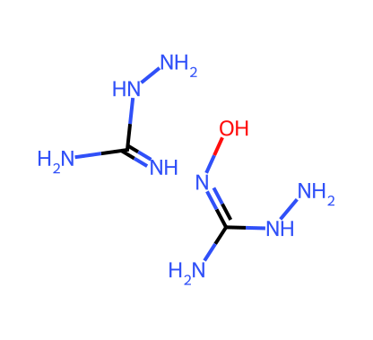 N=C(N)NN.NNC(N)=NO